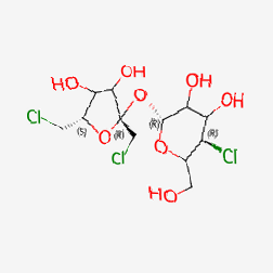 OCC1O[C@H](O[C@]2(CCl)O[C@H](CCl)C(O)C2O)C(O)C(O)[C@H]1Cl